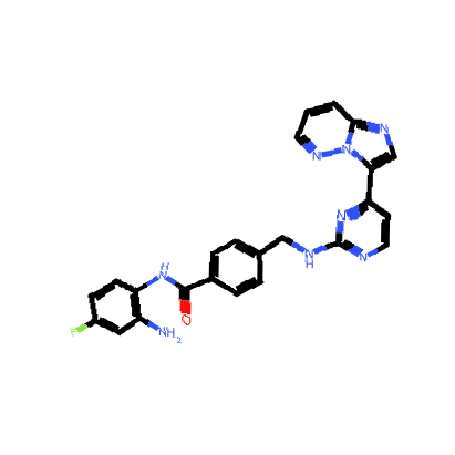 Nc1cc(F)ccc1NC(=O)c1ccc(CNc2nccc(-c3cnc4cccnn34)n2)cc1